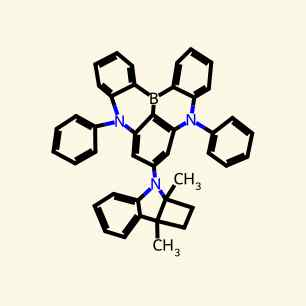 CC12CCC1(C)N(c1cc3c4c(c1)N(c1ccccc1)c1ccccc1B4c1ccccc1N3c1ccccc1)c1ccccc12